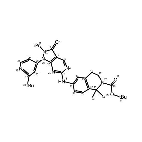 CC(C)n1c(=O)c2cnc(Nc3ccc4c(c3)CCN(C(=O)OC(C)(C)C)C4(C)C)nc2n1-c1ccnc(C(C)(C)C)c1